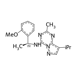 COc1ccccc1[C@H](C)Nc1nc(C)nc2c(C(C)C)cnn12